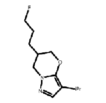 CC(C)c1cnn2c1OCC(CCCF)C2